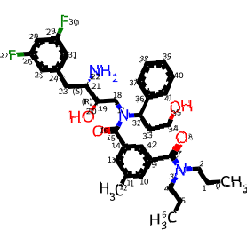 CCCN(CCC)C(=O)c1cc(C)cc(C(=O)N(C[C@@H](O)[C@@H](N)Cc2cc(F)cc(F)c2)C(CCO)c2ccccc2)c1